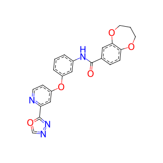 O=C(Nc1cccc(Oc2ccnc(-c3nnco3)c2)c1)c1ccc2c(c1)OCCCO2